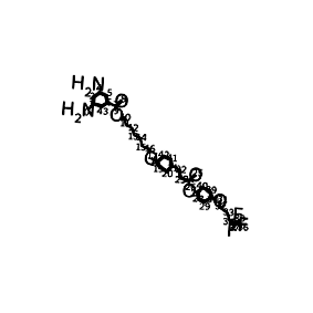 Nc1cc(N)cc(C(=O)OCCCCCCCOc2ccc(C=CC(=O)Oc3ccc(OCCCC(F)(F)F)cc3)cc2)c1